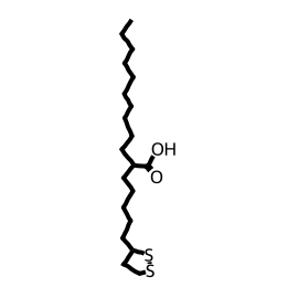 CCCCCCCCCCC(CCCCCC1CCSS1)C(=O)O